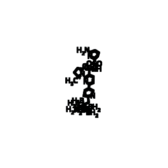 BC(B)(B)C(B)(Cc1ccc(-c2ccc(C(=O)NS(=O)(=O)c3cccc(N)n3)c(N3[C@H](C)CC[C@@H]3C)n2)cn1)C(B)(B)B